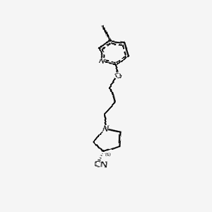 Cc1ccc(OCCCN2CC[C@H](C#N)C2)nc1